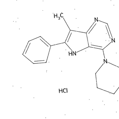 Cc1c(-c2ccccc2)[nH]c2c(N3CCCCC3)ncnc12.Cl